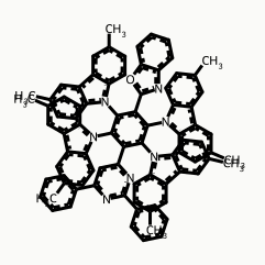 Cc1ccc2c(c1)c1cc(C)ccc1n2-c1c(-c2cc(-c3ccccc3)nc(-c3ccccc3)n2)c(-n2c3ccc(C)cc3c3cc(C)ccc32)c(-n2c3ccc(C)cc3c3cc(C)ccc32)c(-c2nc3ccccc3o2)c1-n1c2ccc(C)cc2c2cc(C)ccc21